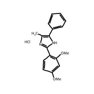 COc1ccc(-c2nc(C)c(-c3ccccc3)[nH]2)c(OC)c1.Cl